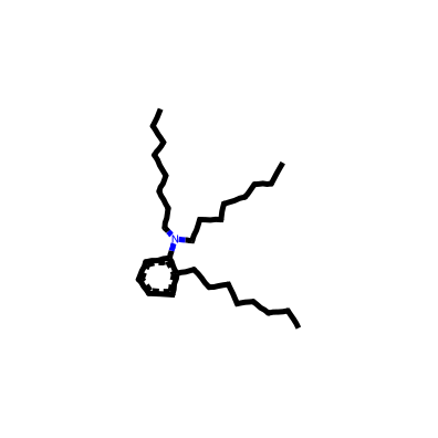 CCCCCCCCc1ccccc1N(CCCCCCCC)CCCCCCCC